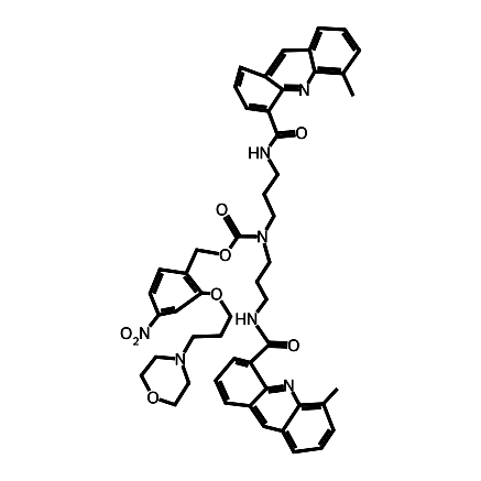 Cc1cccc2cc3cccc(C(=O)NCCCN(CCCNC(=O)c4cccc5cc6cccc(C)c6nc45)C(=O)OCc4ccc([N+](=O)[O-])cc4OCCCN4CCOCC4)c3nc12